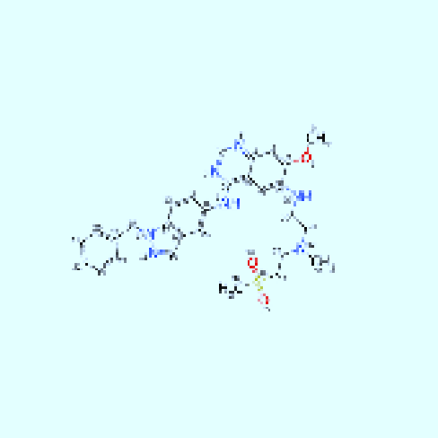 COc1cc2ncnc(Nc3ccc4c(cnn4Cc4ccccc4)c3)c2cc1NCCN(C)CCS(C)(=O)=O